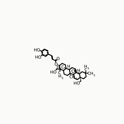 CC1(C)CC[C@]2(CO)CC[C@]3(C)C(=CC[C@@H]4[C@@]5(C)CC[C@H](OC(=O)C=Cc6ccc(O)c(O)c6)C(C)(CO)C5CC[C@]43C)[C@H]2C1